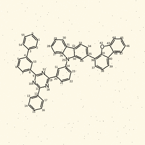 c1ccc(-c2cccc(-c3nc(-c4ccccc4)nc(-c4cccc(-n5c6ccccc6c6ccc(-c7cccc8c7oc7ccccc78)cc65)c4)n3)c2)cc1